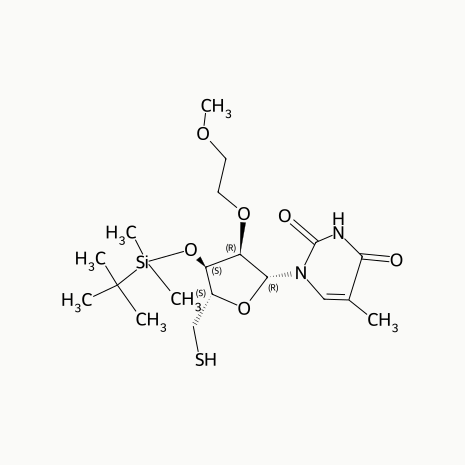 COCCO[C@@H]1[C@H](O[Si](C)(C)C(C)(C)C)[C@@H](CS)O[C@H]1n1cc(C)c(=O)[nH]c1=O